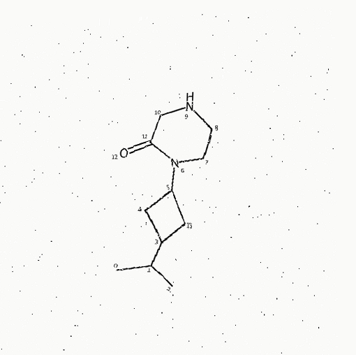 CC(C)C1CC(N2CCNCC2=O)C1